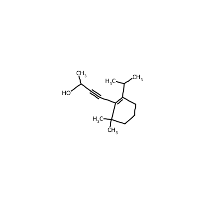 CC(O)C#CC1=C(C(C)C)CCCC1(C)C